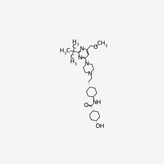 COCc1cc(N2CCN(CC[C@H]3CC[C@H](NC(=O)[C@H]4CC[C@@H](O)CC4)CC3)CC2)nc(C(C)(C)C)n1